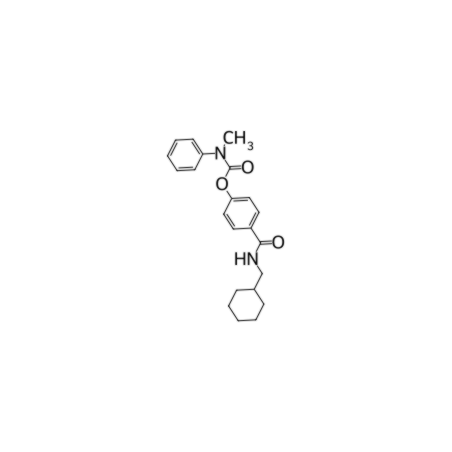 CN(C(=O)Oc1ccc(C(=O)NCC2CCCCC2)cc1)c1ccccc1